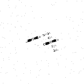 O=[Si]=O.O=[Si]=O.[O-2].[O-2].[O-2].[Sc+3].[Sc+3]